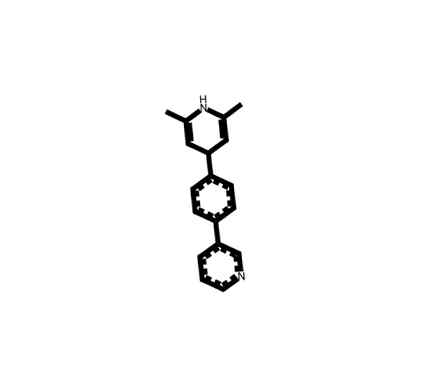 CC1=CC(c2ccc(-c3cccnc3)cc2)C=C(C)N1